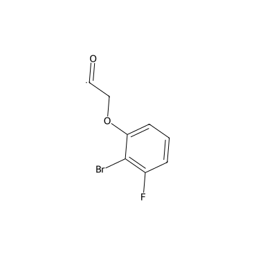 O=[C]COc1cccc(F)c1Br